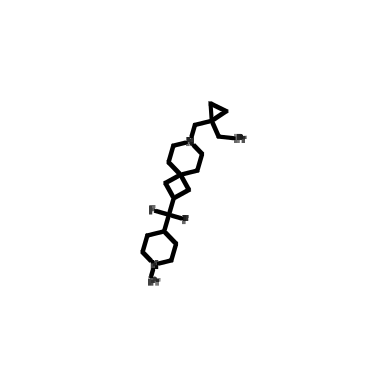 CC(C)CC1(CN2CCC3(CC2)CC(C(F)(F)C2CCN(C(C)C)CC2)C3)CC1